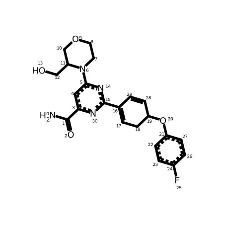 NC(=O)c1cc(N2CCOCC2CO)nc(C2=CCC(Oc3ccc(F)cc3)C=C2)n1